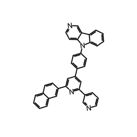 c1cncc(-c2cc(-c3ccc(-n4c5ccccc5c5cnccc54)cc3)cc(-c3ccc4ccccc4c3)n2)c1